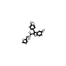 Cc1ccc(-c2c(C(=O)NCc3ccco3)oc3ccc(Cl)cc23)cc1